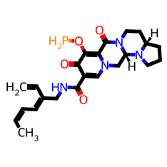 C=C/C(=C\C=C/C)CNC(=O)c1cn2c(c(OP)c1=O)C(=O)N1CC[C@@H]3CCCN3[C@@H]1C2